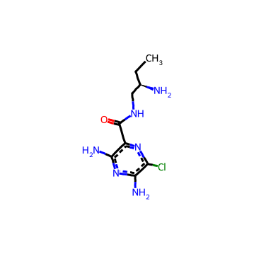 CC[C@@H](N)CNC(=O)c1nc(Cl)c(N)nc1N